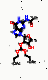 CC(=O)OCCOC(OCCOC(C)=O)OC1C(O)[C@@H](C)O[C@H]1n1cnc2c(=O)[nH]c(NC(=O)C(C)C)nc21